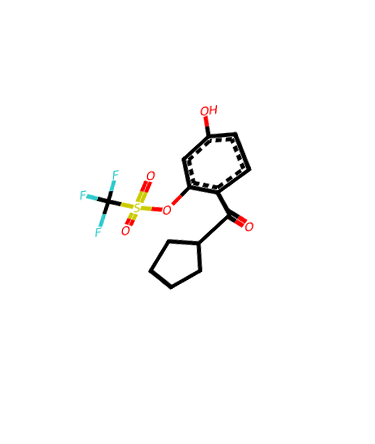 O=C(c1ccc(O)cc1OS(=O)(=O)C(F)(F)F)C1CCCC1